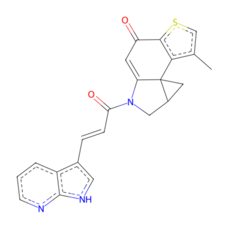 Cc1csc2c1C13CC1CN(C(=O)/C=C/c1c[nH]c4ncccc14)C3=CC2=O